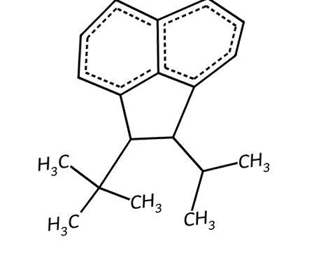 CC(C)C1c2cccc3cccc(c23)C1C(C)(C)C